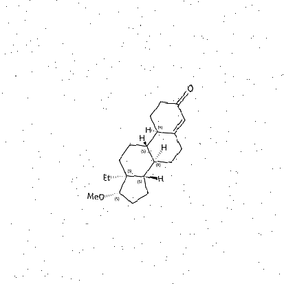 CC[C@]12CC[C@H]3[C@@H](CCC4=CC(=O)CC[C@@H]43)[C@@H]1CC[C@@H]2OC